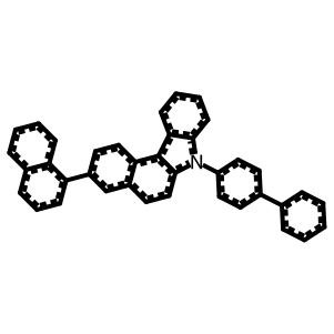 c1ccc(-c2ccc(-n3c4ccccc4c4c5ccc(-c6cccc7ccccc67)cc5ccc43)cc2)cc1